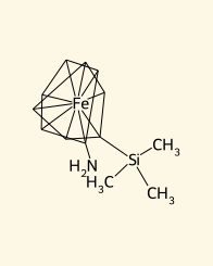 C[Si](C)(C)[C]12[CH]3[CH]4[CH]5[CH]1[Fe]45321678[CH]2[CH]1[CH]6[C]7(N)[CH]28